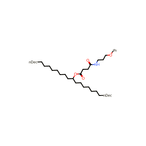 CCCCCCCCCCCCCCCCCCC(CCCCCCCCCCCCCCCCC)OC(=O)CCC(=O)NCCCOC(C)C